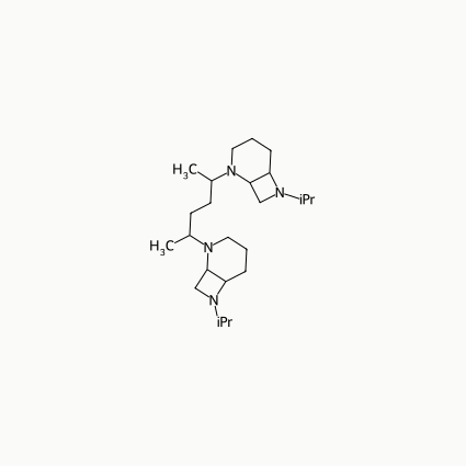 CC(C)N1CC2C1CCCN2C(C)CCC(C)N1CCCC2C1CN2C(C)C